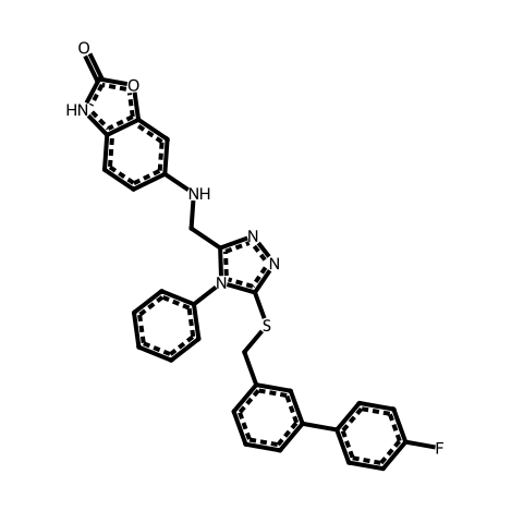 O=c1[nH]c2ccc(NCc3nnc(SCc4cccc(-c5ccc(F)cc5)c4)n3-c3ccccc3)cc2o1